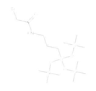 C[Si](C)(C)O[Si](CCCNC(=O)CBr)(O[Si](C)(C)C)O[Si](C)(C)C